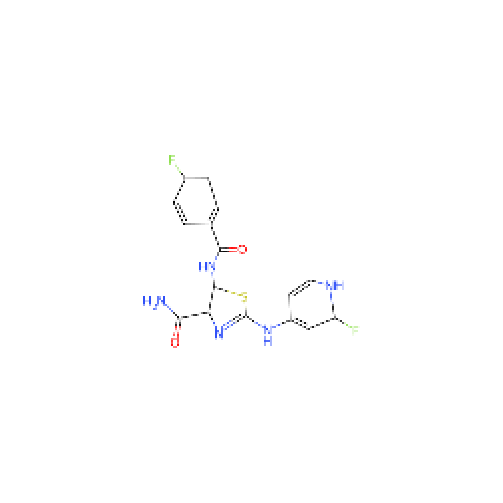 NC(=O)C1N=C(NC2=CC(F)NC=C2)SC1NC(=O)C1=CCC(F)C=C1